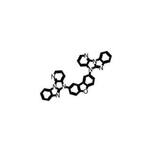 c1ccc2c(c1)nc1n(-c3ccc4oc5ccc(-n6c7cccnc7n7c8ccccc8nc67)cc5c4c3)c3cccnc3n21